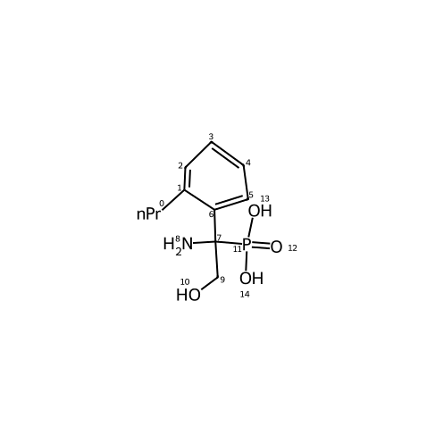 CCCc1ccccc1C(N)(CO)P(=O)(O)O